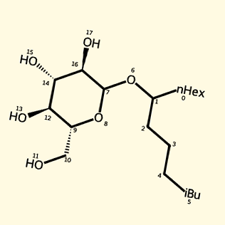 CCCCCCC(CCCC(C)CC)OC1O[C@H](CO)[C@@H](O)[C@H](O)[C@H]1O